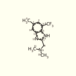 Cc1cc(C(F)(F)F)c2[nH]c(CN(C)C)nc2c1